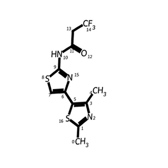 Cc1nc(C)c(-c2csc(NC(=O)CC(F)(F)F)n2)s1